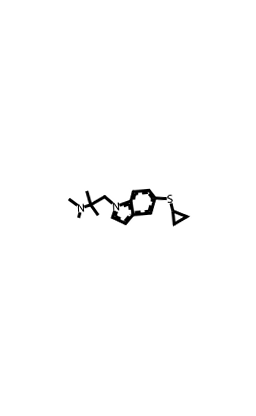 CN(C)C(C)(C)Cn1ccc2cc(SC3CC3)ccc21